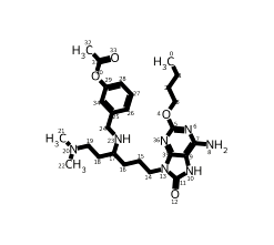 CCCCOc1nc(N)c2[nH]c(=O)n(CCCC(CCN(C)C)NCc3cccc(OC(C)=O)c3)c2n1